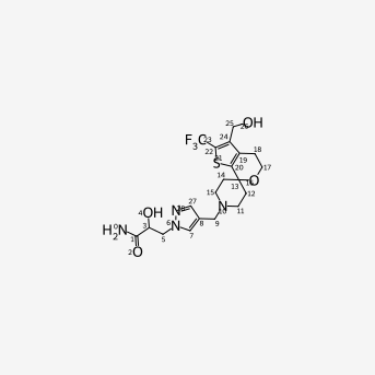 NC(=O)C(O)Cn1cc(CN2CCC3(CC2)OCCc2c3sc(C(F)(F)F)c2CO)cn1